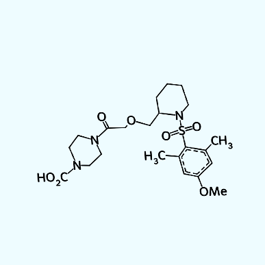 COc1cc(C)c(S(=O)(=O)N2CCCCC2COCC(=O)N2CCN(C(=O)O)CC2)c(C)c1